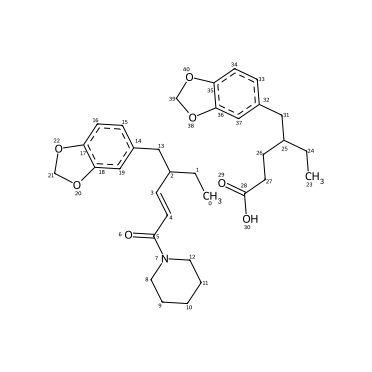 CCC(/C=C/C(=O)N1CCCCC1)Cc1ccc2c(c1)OCO2.CCC(CCC(=O)O)Cc1ccc2c(c1)OCO2